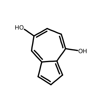 Oc1ccc(O)c2cccc-2c1